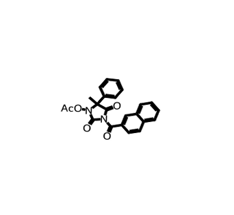 CC(=O)ON1C(=O)N(C(=O)c2ccc3ccccc3c2)C(=O)C1(C)c1ccccc1